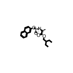 CCC(CC)COC(=O)[C@H](C)N=[P+]([O-])Oc1ccc2ccccc2c1